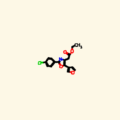 CCOC(=O)Cc1nc(-c2ccc(Cl)cc2)oc1-c1ccoc1